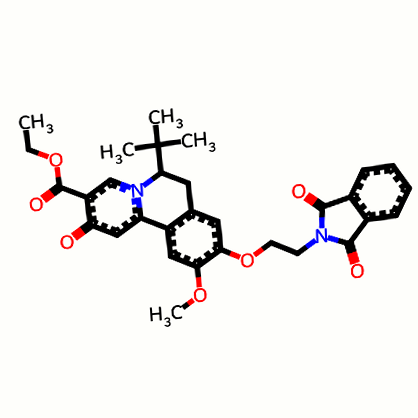 CCOC(=O)c1cn2c(cc1=O)-c1cc(OC)c(OCCN3C(=O)c4ccccc4C3=O)cc1CC2C(C)(C)C